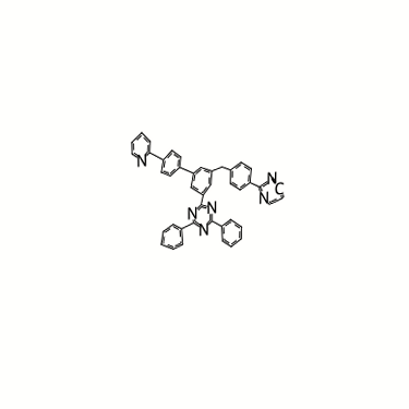 c1ccc(-c2nc(-c3ccccc3)nc(-c3cc(Cc4ccc(-c5ncccn5)cc4)cc(-c4ccc(-c5ccccn5)cc4)c3)n2)cc1